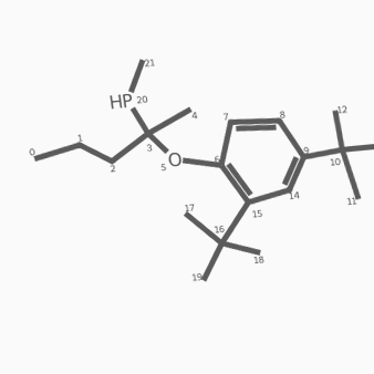 CCCC(C)(Oc1ccc(C(C)(C)C)cc1C(C)(C)C)PC